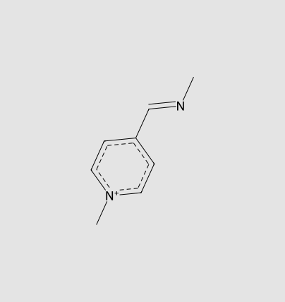 CN=Cc1cc[n+](C)cc1